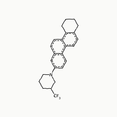 FC(F)(F)C1CCCN(c2ccc3c(ccc4c5c(ccc43)CCCC5)c2)C1